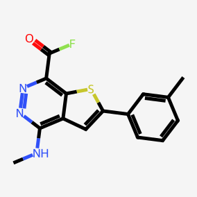 CNc1nnc(C(=O)F)c2sc(-c3cccc(C)c3)cc12